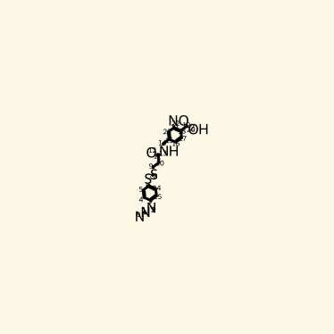 [N-]=[N+]=Nc1ccc(SSCCC(=O)NCc2ccc(CO)c([N+](=O)[O-])c2)cc1